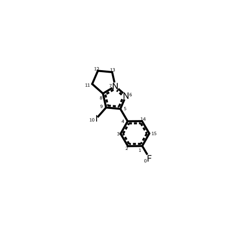 Fc1ccc(-c2nn3c(c2I)CCC3)cc1